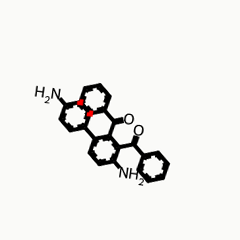 Nc1ccc(-c2ccc(N)c(C(=O)c3ccccc3)c2C(=O)c2ccccc2)cc1